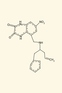 C=CCC(Cc1ccccc1)NCc1cc([N+](=O)[O-])cc2[nH]c(=O)c(=O)[nH]c12